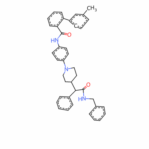 Cc1cccc(-c2ccccc2C(=O)Nc2ccc(N3CCC(C(C(=O)NCc4ccccc4)c4ccccc4)CC3)cc2)c1